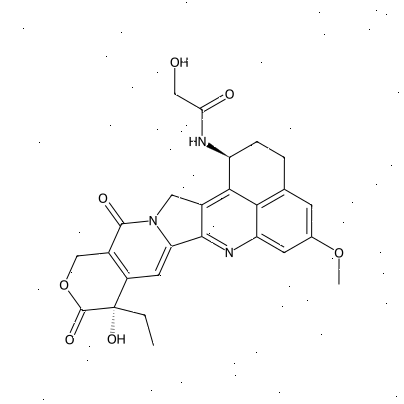 CC[C@@]1(O)C(=O)OCc2c1cc1n(c2=O)Cc2c-1nc1cc(OC)cc3c1c2[C@@H](NC(=O)CO)CC3